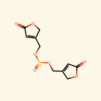 O=C1C=C(CO[PH](=O)OCC2=CC(=O)OC2)CO1